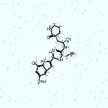 COc1cc(Cl)c2[nH]c(C(O)N[C@@H](CC(C)(C)C)C(=O)N[C@H](C#N)C[C@@H]3CCCNC3=O)cc2c1